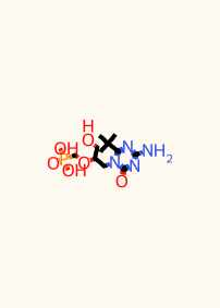 CC(C)(C)c1nc(N)nc(=O)n1CC(CO)OCP(=O)(O)O